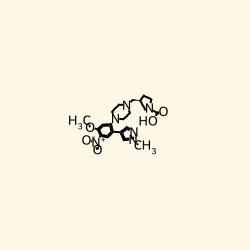 COc1cc(N2CCN(C[C@H]3CCN(C(=O)O)C3)CC2)c(-c2cnn(C)c2)cc1[N+](=O)[O-]